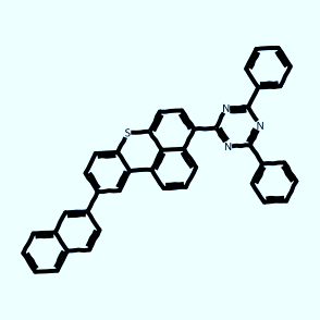 c1ccc(-c2nc(-c3ccccc3)nc(-c3ccc4c5c(cccc35)-c3cc(-c5ccc6ccccc6c5)ccc3S4)n2)cc1